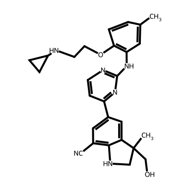 Cc1ccc(OCCNC2CC2)c(Nc2nccc(-c3cc(C#N)c4c(c3)C(C)(CO)CN4)n2)c1